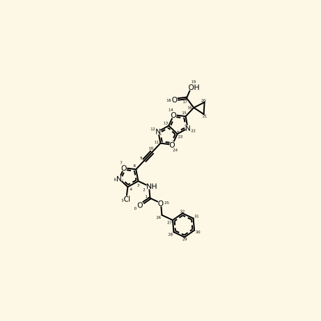 O=C(Nc1c(Cl)noc1C#Cc1nc2oc(C3(C(=O)O)CC3)nc2o1)OCc1ccccc1